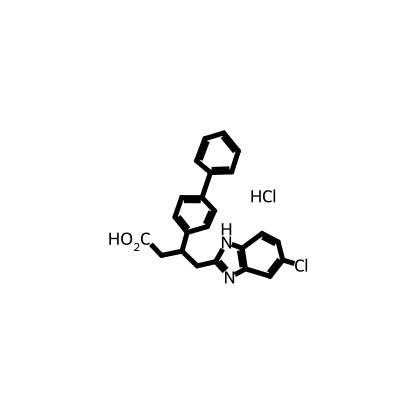 Cl.O=C(O)CC(Cc1nc2cc(Cl)ccc2[nH]1)c1ccc(-c2ccccc2)cc1